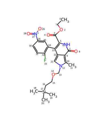 CCOC(=O)c1[nH]c(=O)c2c(C)n(COCC[Si](C)(C)C)cc2c1-c1cc([N+](=O)[O-])ccc1F